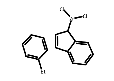 CCc1c[c]ccc1.[Cl][Zr]([Cl])[CH]1C=Cc2ccccc21